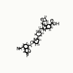 N#Cc1ccc(COc2cccc(C3CCN(Cc4nc5ccc(C(=O)O)cc5n4C[C@@H]4CCO4)CC3)n2)c2oc(F)cc12